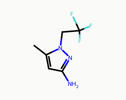 Cc1cc(N)nn1CC(F)(F)F